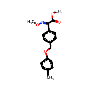 CO/N=C(/C(=O)OC)c1ccc(COc2ccc(C)cc2)cc1